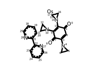 O=C1C=C(N2CC2)C(=O)C(N2CC2)=C1N1CC1.[Os].c1ccc(-c2ccccn2)nc1